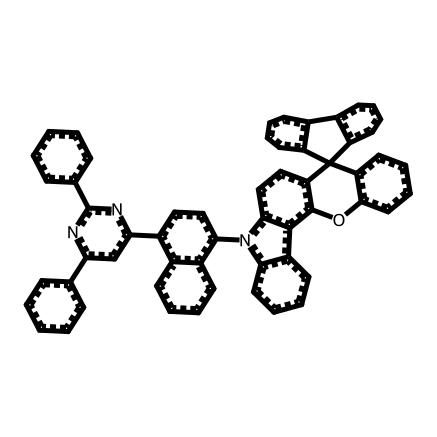 c1ccc(-c2cc(-c3ccc(-n4c5ccccc5c5c6c(ccc54)C4(c5ccccc5O6)c5ccccc5-c5ccccc54)c4ccccc34)nc(-c3ccccc3)n2)cc1